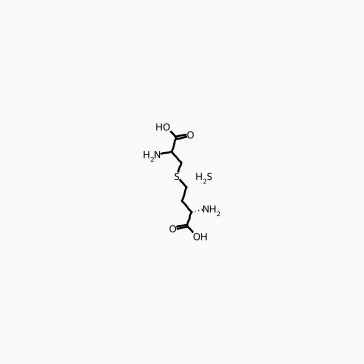 NC(CSCC[C@H](N)C(=O)O)C(=O)O.S